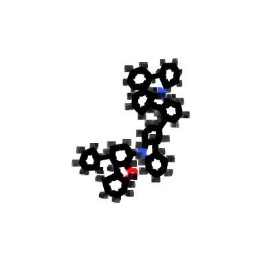 c1ccc(-c2ccccc2-n2c3ccccc3c3c(-c4ccc5c(c4)c4ccccc4n5-c4ccc(-c5ccccc5)c5c4oc4ccccc45)cccc32)cc1